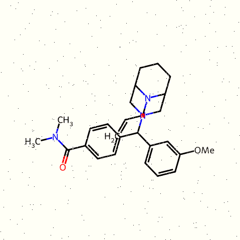 C=CCN1C2CCCC1CN(C(c1ccc(C(=O)N(C)C)cc1)c1cccc(OC)c1)C2